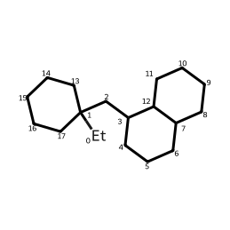 [CH2]CC1(CC2CCCC3CCCCC32)CCCCC1